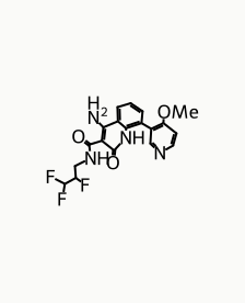 COc1ccncc1-c1cccc2c(N)c(C(=O)NCC(F)C(F)F)c(=O)[nH]c12